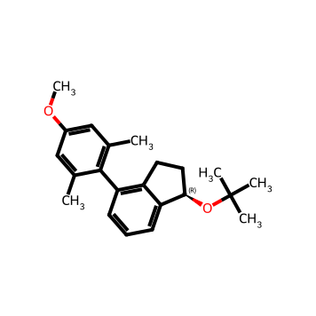 COc1cc(C)c(-c2cccc3c2CC[C@H]3OC(C)(C)C)c(C)c1